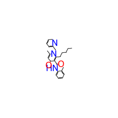 CCCCCc1c(C(=O)Nc2ccccc2C)c(=O)cc(C)n1Cc1ccccn1